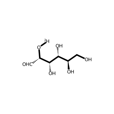 [2H]O[C@@H](C=O)[C@@H](O)[C@H](O)[C@H](O)CO